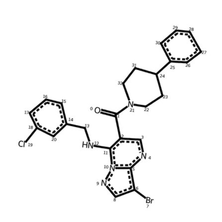 O=C(c1cnc2c(Br)cnn2c1NCc1cccc(Cl)c1)N1CCC(c2ccccc2)CC1